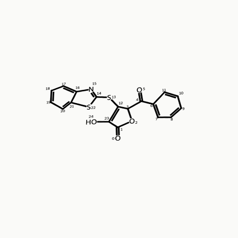 O=C1OC(C(=O)c2ccccc2)C(Sc2nc3ccccc3s2)=C1O